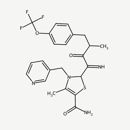 CC1=C(C(N)=O)SC(C(=N)C(=O)C(C)Cc2ccc(OC(F)(F)F)cc2)N1Cc1cccnc1